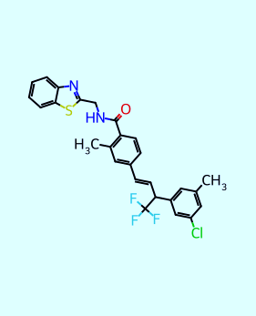 Cc1cc(Cl)cc(C(/C=C/c2ccc(C(=O)NCc3nc4ccccc4s3)c(C)c2)C(F)(F)F)c1